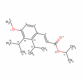 COc1ccc(C=CC(=O)OC(C)C)c(C(C)C)c1C(C)C